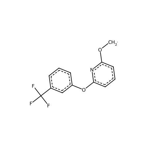 [CH2]Oc1cccc(Oc2cccc(C(F)(F)F)c2)n1